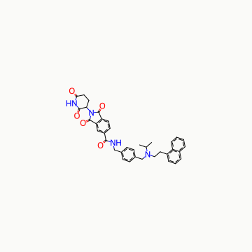 CC(C)N(CCc1cccc2ccccc12)Cc1ccc(CNC(=O)c2ccc3c(c2)C(=O)N(C2CCC(=O)NC2=O)C3=O)cc1